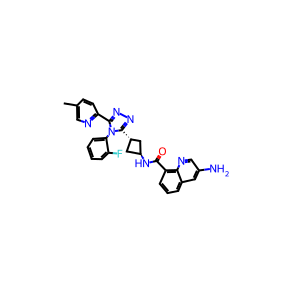 Cc1ccc(-c2nnc([C@H]3C[C@H](NC(=O)c4cccc5cc(N)cnc45)C3)n2-c2ccccc2F)nc1